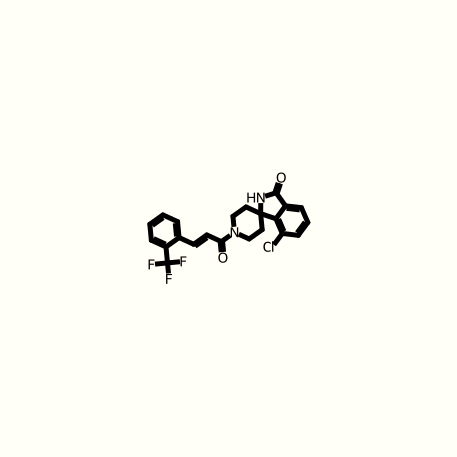 O=C1NC2(CCN(C(=O)C=Cc3ccccc3C(F)(F)F)CC2)c2c(Cl)cccc21